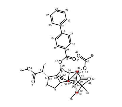 COC(=O)C(C)[C@H]1CCC23C4O[C@@H](OC(=O)c5ccc(-c6ccccc6)cc5)C12OC1OC(=O)[C@H](OC)C13[C@H](C(C)(C)C)[C@H]4OC(C)=O